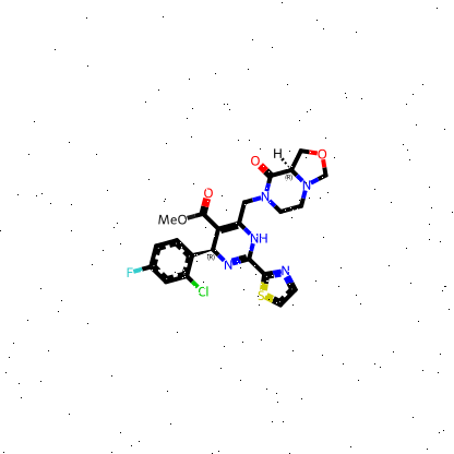 COC(=O)C1=C(CN2CCN3COC[C@@H]3C2=O)NC(c2nccs2)=N[C@H]1c1ccc(F)cc1Cl